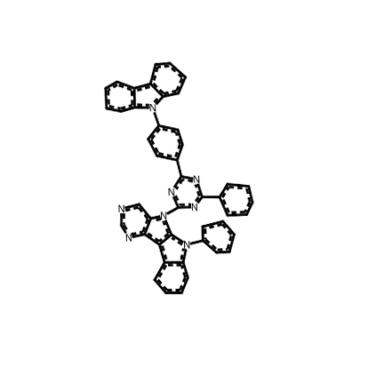 c1ccc(-c2nc(-c3ccc(-n4c5ccccc5c5ccccc54)cc3)nc(-n3c4cncnc4c4c5ccccc5n(-c5ccccc5)c43)n2)cc1